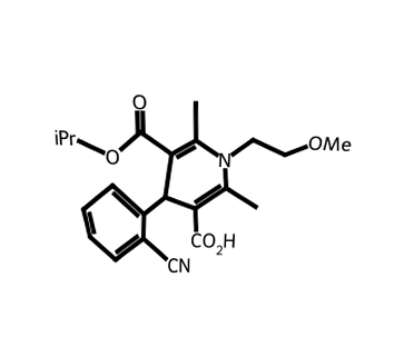 COCCN1C(C)=C(C(=O)O)C(c2ccccc2C#N)C(C(=O)OC(C)C)=C1C